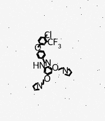 FC(F)(F)c1cc(Oc2ccc(-c3nc4c(OCCN5CCCC5)cc(OCCN5CCCC5)cc4[nH]3)cc2)ccc1Cl